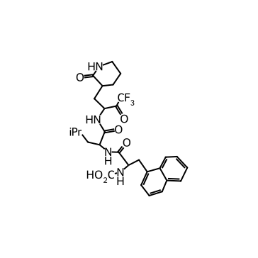 CC(C)CC(NC(=O)C(Cc1cccc2ccccc12)NC(=O)O)C(=O)NC(CC1CCCNC1=O)C(=O)C(F)(F)F